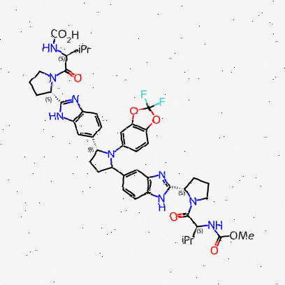 COC(=O)N[C@H](C(=O)N1CCC[C@H]1c1nc2cc(C3CC[C@H](c4ccc5nc([C@@H]6CCCN6C(=O)[C@@H](NC(=O)O)C(C)C)[nH]c5c4)N3c3ccc4c(c3)OC(F)(F)O4)ccc2[nH]1)C(C)C